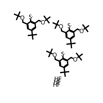 CC(C)(C)OCc1cc(C(C)(C)C)cc(COC(C)(C)C)c1[S].CC(C)(C)OCc1cc(C(C)(C)C)cc(COC(C)(C)C)c1[S].CC(C)(C)OCc1cc(C(C)(C)C)cc(COC(C)(C)C)c1[S].F.F.F